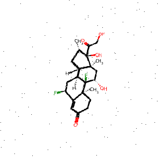 C[C@H]1C[C@H]2[C@@H]3C[C@H](F)C4=CC(=O)CC[C@]4(C)[C@@]3(F)[C@@H](O)C[C@]2(C)[C@@]1(O)C(=O)CO